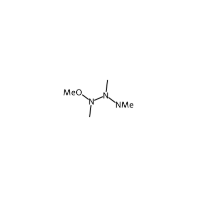 CNN(C)N(C)OC